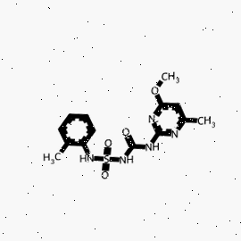 COc1cc(C)nc(NC(=O)NS(=O)(=O)Nc2ccccc2C)n1